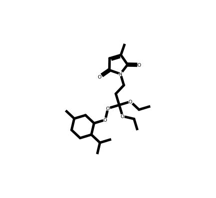 CCOC(CCN1C(=O)C=C(C)C1=O)(OCC)OOC1CC(C)CCC1C(C)C